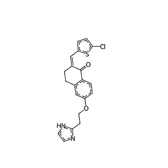 O=C1C(=Cc2ccc(Cl)s2)CCc2cc(OCCc3ncc[nH]3)ccc21